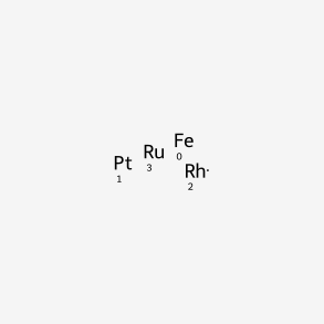 [Fe].[Pt].[Rh].[Ru]